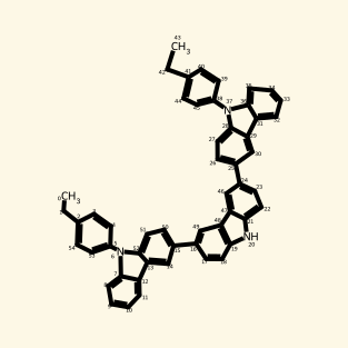 CCc1ccc(-n2c3ccccc3c3cc(-c4ccc5[nH]c6ccc(-c7ccc8c(c7)c7ccccc7n8-c7ccc(CC)cc7)cc6c5c4)ccc32)cc1